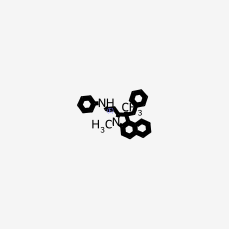 CN1c2ccc3ccccc3c2C(C)(Cc2ccccc2)C1/C=C/Nc1ccccc1